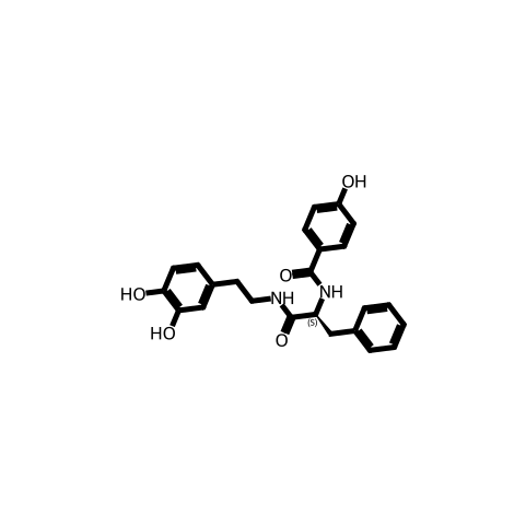 O=C(N[C@@H](Cc1ccccc1)C(=O)NCCc1ccc(O)c(O)c1)c1ccc(O)cc1